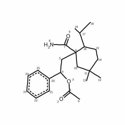 CC(=O)OC(CC1(C(N)=O)CC(C)(C)CCC1C(C)C)c1ccccc1